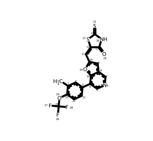 Cc1cc(-c2cncc3cc(C=C4SC(=S)NC4=O)oc23)ccc1OC(F)(F)F